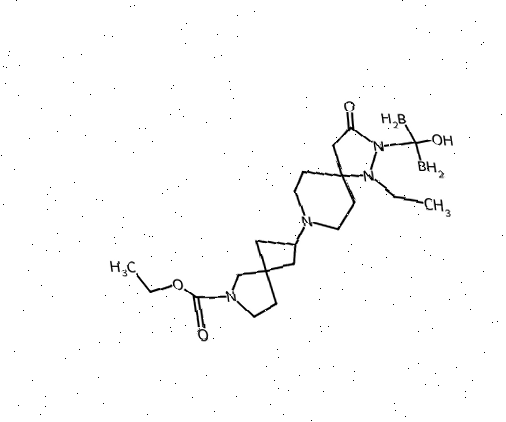 BC(B)(O)N1C(=O)CC2(CCN(C3CC4(CCN(C(=O)OCC)C4)C3)CC2)N1CC